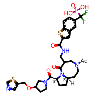 CC(=O)N1CC[C@H]2CC[C@@H](C(=O)N3CCC(OCc4cncs4)C3)N2C(=O)C(CNC(=O)c2cc3cc(C(F)(F)P(=O)(O)O)ccc3s2)C1